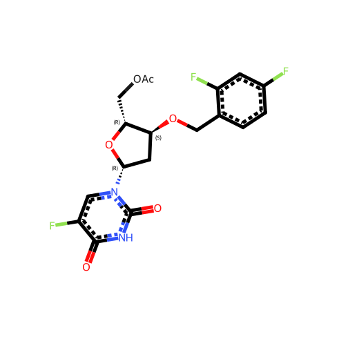 CC(=O)OC[C@H]1O[C@@H](n2cc(F)c(=O)[nH]c2=O)C[C@@H]1OCc1ccc(F)cc1F